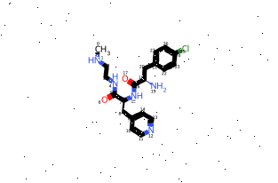 CNCCNC(=O)[C@H](Cc1ccncc1)NC(=O)[C@@H](N)Cc1ccc(Cl)cc1